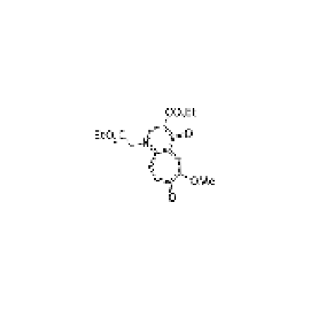 CCOC(=O)Cn1cc(C(=O)OCC)c(=O)c2cc(OC)c(=O)ccc21